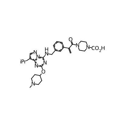 C=C(C(=O)N1CCN(C(=O)O)CC1)c1cccc(CNc2nc(OC3CCN(C)CC3)nc3c(C(C)C)cnn23)c1